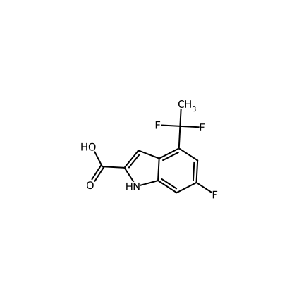 CC(F)(F)c1cc(F)cc2[nH]c(C(=O)O)cc12